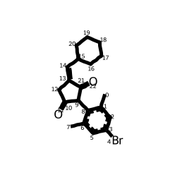 Cc1cc(Br)cc(C)c1C1C(=O)CC(=CC2CCCCC2)C1=O